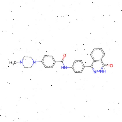 CN1CCN(c2ccc(C(=O)Nc3ccc(-c4n[nH]c(=O)c5ccccc45)cc3)cc2)CC1